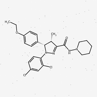 CCOc1ccc([C@@H]2[C@H](C)C(C(=O)NN3CCCCC3)=NN2c2ccc(Cl)cc2Cl)cc1